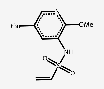 C=CS(=O)(=O)Nc1cc(C(C)(C)C)cnc1OC